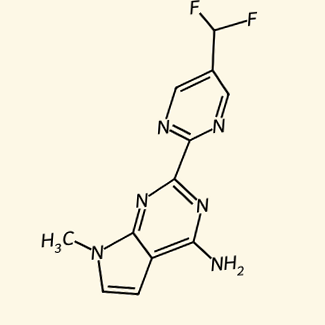 Cn1ccc2c(N)nc(-c3ncc(C(F)F)cn3)nc21